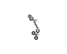 c1ccc(C(OC2CCN(CCCCCCNc3ccc4nncn4n3)CC2)c2ccccc2)cc1